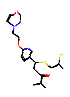 CC(S)CSC(CC(=O)C(C)C)c1ccc(OCCN2CCOCC2)nc1